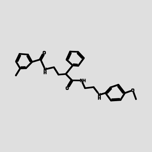 COc1ccc(NCCNC(=O)C(CCNC(=O)c2cccc(C)c2)c2ccccc2)cc1